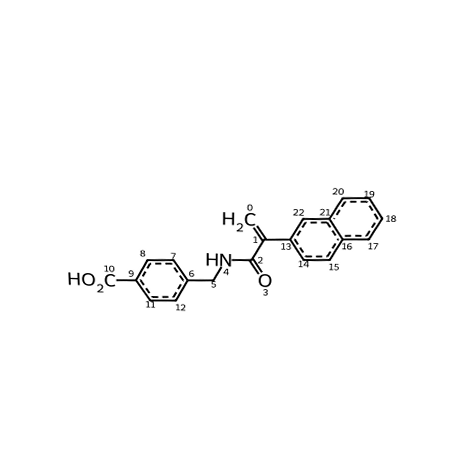 C=C(C(=O)NCc1ccc(C(=O)O)cc1)c1ccc2ccccc2c1